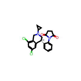 O=C1CCC(=O)N1c1ccccc1[C@H]1CN(C2CC2)Cc2c(Cl)cc(Cl)cc21